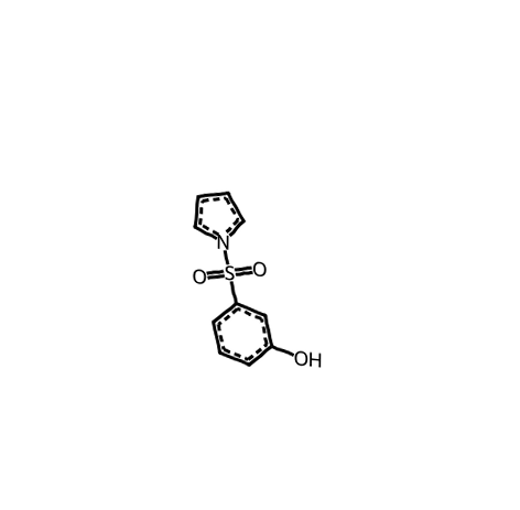 O=S(=O)(c1cccc(O)c1)n1cccc1